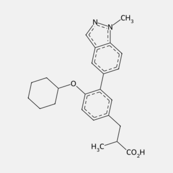 CC(Cc1ccc(OC2CCCCC2)c(-c2ccc3c(cnn3C)c2)c1)C(=O)O